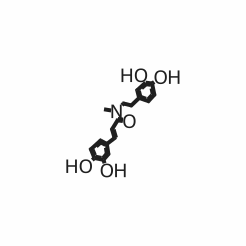 CN(CCc1ccc(O)c(O)c1)C(=O)C=Cc1ccc(O)c(O)c1